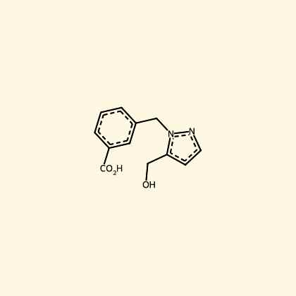 O=C(O)c1cccc(Cn2nccc2CO)c1